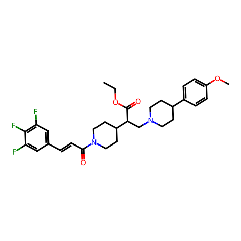 CCOC(=O)C(CN1CCC(c2ccc(OC)cc2)CC1)C1CCN(C(=O)C=Cc2cc(F)c(F)c(F)c2)CC1